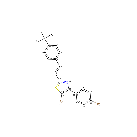 CC(C)(C)c1ccc(C=Cc2nc(-c3ccc(Br)cc3)c(Br)s2)cc1